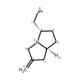 C=C1C[C@@H]2CC[C@@H](CC(C)C)N2C1